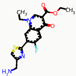 CCOC(=O)c1cn(CC)c2cc(-c3nc(CN)cs3)c(F)cc2c1=O